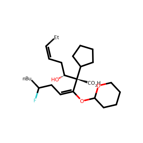 CC/C=C\C[C@@H](O)[C@@](C(=O)O)(/C(=C\CC(F)CCCC)OC1CCCCO1)C1CCCC1